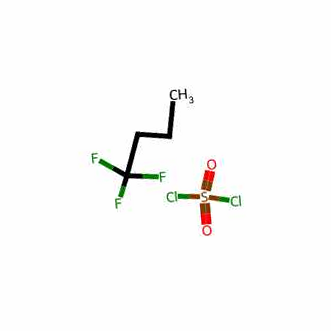 CCCC(F)(F)F.O=S(=O)(Cl)Cl